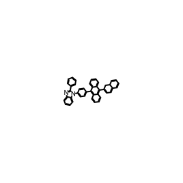 C1=CC2=CC=C(c3c4ccccc4c(-c4ccc(-n5c(-c6ccccc6)nc6ccccc65)cc4)c4ccccc34)CC2C=C1